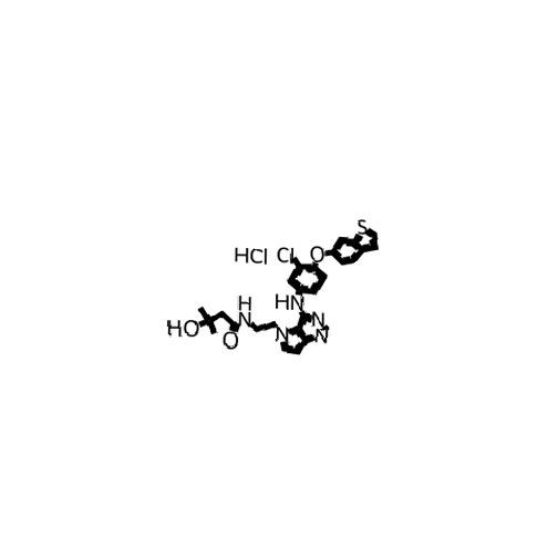 CC(C)(O)CC(=O)NCCn1ccc2ncnc(Nc3ccc(Oc4ccc5ccsc5c4)c(Cl)c3)c21.Cl